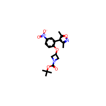 Cc1noc(C)c1-c1cc([N+](=O)[O-])ccc1OC1CN(C(=O)OC(C)(C)C)C1